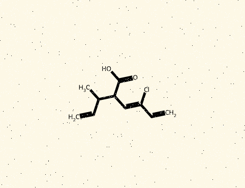 C=CC(Cl)=CC(C(=O)O)C(C)C=C